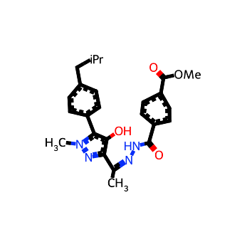 COC(=O)c1ccc(C(=O)N/N=C(/C)c2nn(C)c(-c3ccc(CC(C)C)cc3)c2O)cc1